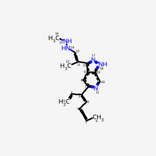 C=C/C(=C\C=C/C)c1cc2c(/C(C)=C/NNC)n[nH]c2cn1